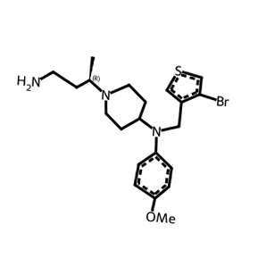 COc1ccc(N(Cc2cscc2Br)C2CCN([C@H](C)CCN)CC2)cc1